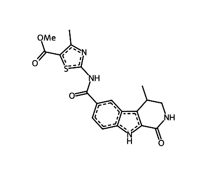 COC(=O)c1sc(NC(=O)c2ccc3[nH]c4c(c3c2)C(C)CNC4=O)nc1C